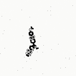 CCn1cc(C2CCN(S(=O)(=O)c3ccc(OC(C)C)cc3)CC2)c2ccc(S(=O)(=O)c3ncco3)nc21